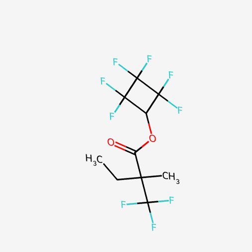 CCC(C)(C(=O)OC1C(F)(F)C(F)(F)C1(F)F)C(F)(F)F